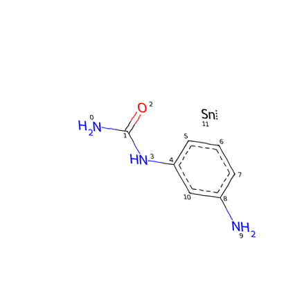 NC(=O)Nc1cccc(N)c1.[Sn]